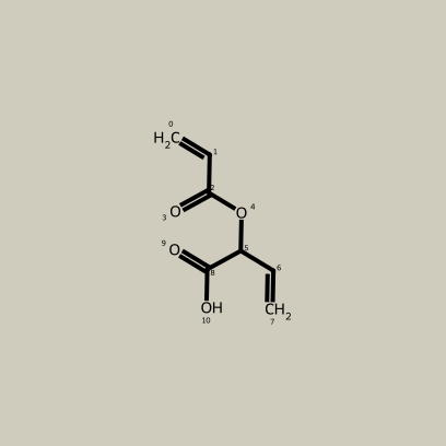 C=CC(=O)OC(C=C)C(=O)O